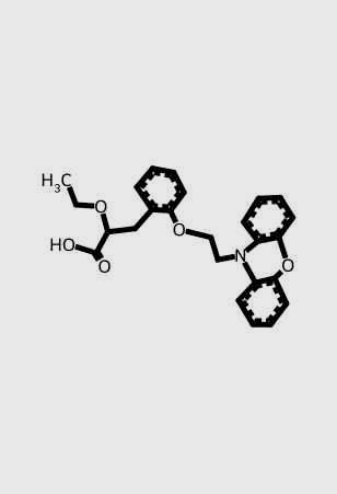 CCOC(Cc1ccccc1OCCN1c2ccccc2Oc2ccccc21)C(=O)O